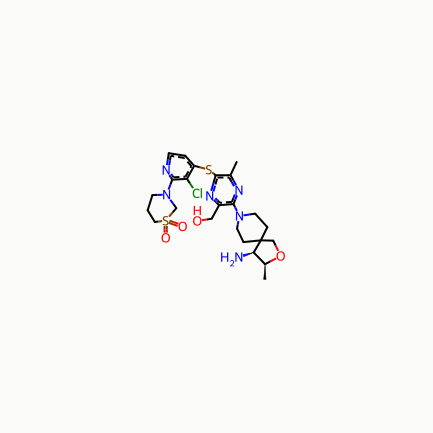 Cc1nc(N2CCC3(CC2)CO[C@@H](C)[C@H]3N)c(CO)nc1Sc1ccnc(N2CCCS(=O)(=O)C2)c1Cl